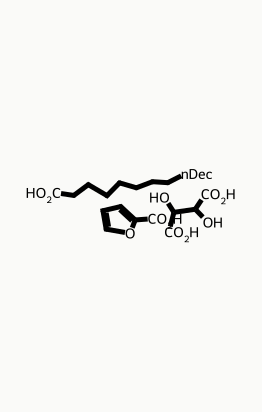 CCCCCCCCCCCCCCCCCC(=O)O.O=C(O)C(O)C(O)C(=O)O.O=C(O)c1ccco1